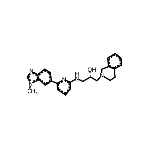 Cn1cnc2ccc(-c3cccc(NC[C@H](O)CN4CCc5ccccc5C4)n3)cc21